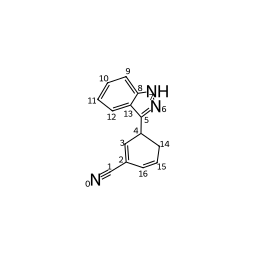 N#CC1=CC(c2n[nH]c3ccccc23)CC=C1